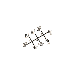 BrC(Br)(Br)C(Br)(Br)C(Br)(Br)Br